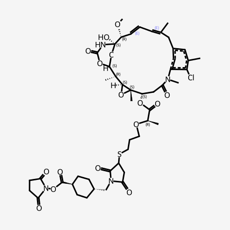 CO[C@@H]1/C=C/C=C(\C)Cc2cc(C)c(Cl)c(c2)N(C)C(=O)C[C@H](OC(=O)[C@@H](C)OCCCSC2CC(=O)N(C[C@H]3CC[C@H](C(=O)ON4C(=O)CCC4=O)CC3)C2=O)[C@]2(C)O[C@H]2[C@H](C)[C@@H]2C[C@@]1(O)NC(=O)O2